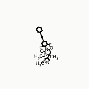 CCN1C(=O)N(c2c(F)cc(C#Cc3ccccc3)cc2F)C(=O)C[C@@]1(C)c1cnn(C)c1